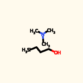 CN(C)C.OCCC[SiH3]